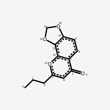 CCCc1cc(=O)c2ccc3c(c2o1)OCO3